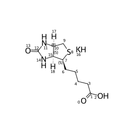 O=C(O)CCCC[C@@H]1SC[C@@H]2NC(=O)N[C@@H]21.[KH]